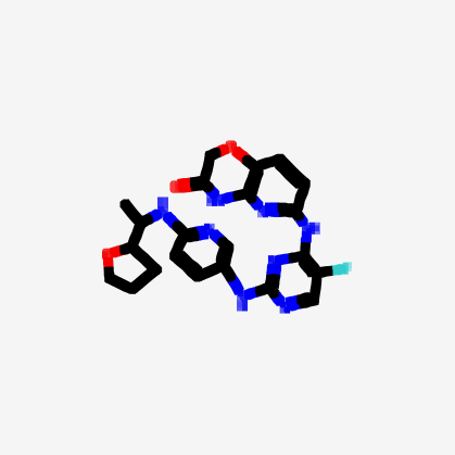 CC(Nc1ccc(Nc2ncc(F)c(Nc3ccc4c(n3)NC(=O)CO4)n2)cn1)C1CCCO1